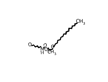 CCCCCCCCCCCCCCCCCCOC[C@H](C)COC(=O)NCCCCCC=O